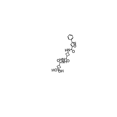 O=C(NC1CC(C(=O)NNC(=O)C2CS(O)(O)C2)C1)c1cc(-c2ccccc2)no1